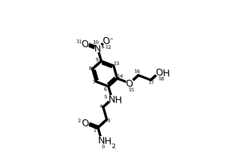 NC(=O)CCNc1ccc([N+](=O)[O-])cc1OCCO